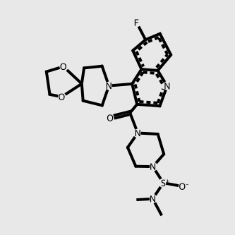 CN(C)[S+]([O-])N1CCN(C(=O)c2cnc3ccc(F)cc3c2N2CCC3(CC2)OCCO3)CC1